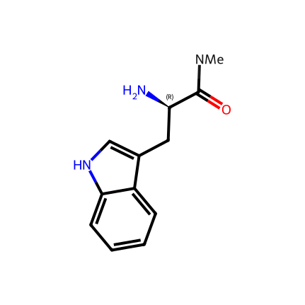 CNC(=O)[C@H](N)Cc1c[nH]c2ccccc12